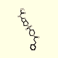 C=CC(=O)NC1CC2CN(S(=O)(=O)C3CCN(C(=O)CCc4ccccc4)CC3)CC2S1